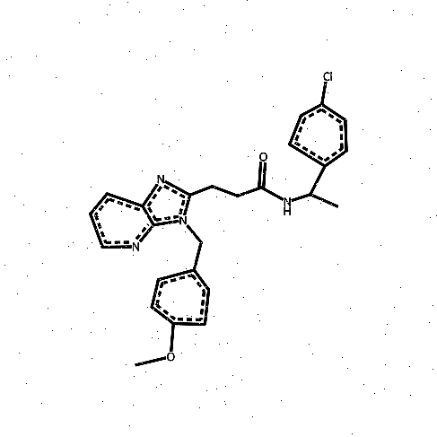 COc1ccc(Cn2c(CCC(=O)NC(C)c3ccc(Cl)cc3)nc3cccnc32)cc1